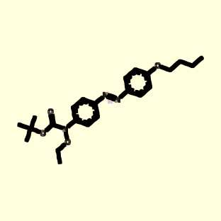 CCCCOc1ccc(/N=N/c2ccc(N(OCC)C(=O)OC(C)(C)C)cc2)cc1